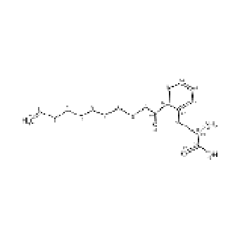 C=CCCCCCCCCC(=O)c1ccccc1C[C@H](N)C(=O)O